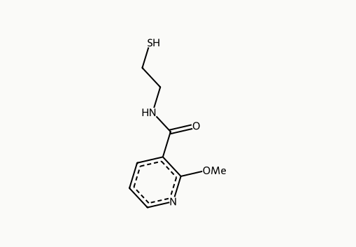 COc1ncccc1C(=O)NCCS